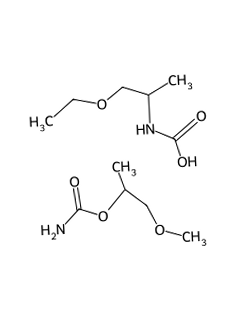 CCOCC(C)NC(=O)O.COCC(C)OC(N)=O